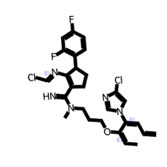 C=C/C=C(\C(=C/C)OCCCN(C)C(=N)C1=C(/N=C/Cl)C(c2ccc(F)cc2F)CC1)n1cnc(Cl)c1